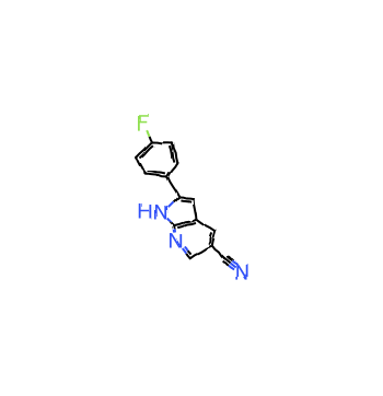 N#Cc1cnc2[nH]c(-c3ccc(F)cc3)cc2c1